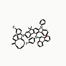 C=C1/C=C\C=C/C/C=C(/N(c2ccc(F)cc2)c2ccc3c(c2)C(C)(C)c2cc4c(c(N(c5ccc(F)cc5)c5cc6ccccc6c6ccccc56)c2-3)c2ccccc2n4-c2ccccc2)c2ccccc21